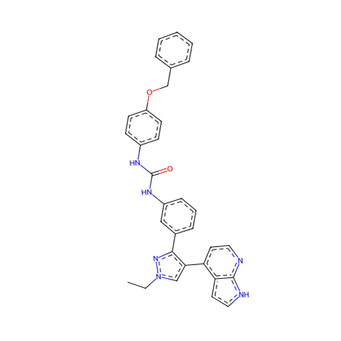 CCn1cc(-c2ccnc3[nH]ccc23)c(-c2cccc(NC(=O)Nc3ccc(OCc4ccccc4)cc3)c2)n1